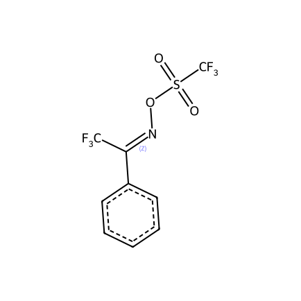 O=S(=O)(O/N=C(/c1ccccc1)C(F)(F)F)C(F)(F)F